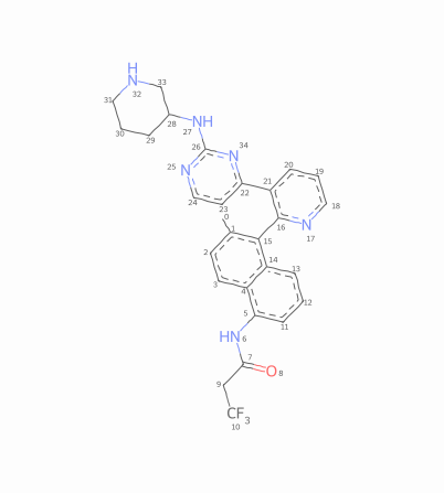 Cc1ccc2c(NC(=O)CC(F)(F)F)cccc2c1-c1ncccc1-c1ccnc(NC2CCCNC2)n1